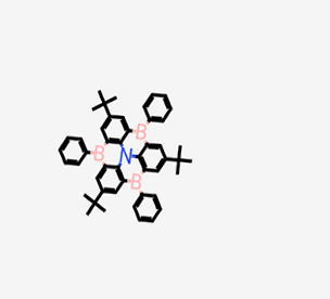 CC(C)(C)c1cc2c3c(c1)B(c1ccccc1)c1cc(C(C)(C)C)cc4c1N3c1c(cc(C(C)(C)C)cc1B4c1ccccc1)B2c1ccccc1